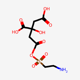 NCCS(=O)(=O)OC(=O)CC(O)(CC(=O)O)C(=O)O